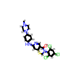 CN1CCN(c2ccc(Nc3cc4c(cn3)C(=O)N(c3c(Cl)cc(Cl)cc3Cl)CS4)cc2)CC1